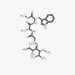 COC(=O)[C@H](Cc1c[nH]c2ccccc12)NC(=O)[C@H](C)NC(=O)CO/N=C(/[C@@H](OC)C(C)C)[C@@H](O)[C@@H](C)O